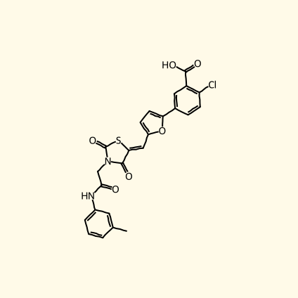 Cc1cccc(NC(=O)CN2C(=O)S/C(=C\c3ccc(-c4ccc(Cl)c(C(=O)O)c4)o3)C2=O)c1